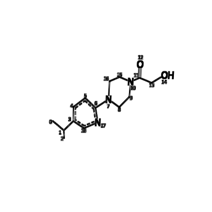 CC(C)c1ccc(N2CCN(C(=O)CO)CC2)nc1